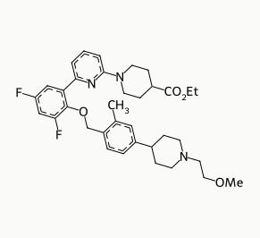 CCOC(=O)C1CCN(c2cccc(-c3cc(F)cc(F)c3OCc3ccc(C4CCN(CCOC)CC4)cc3C)n2)CC1